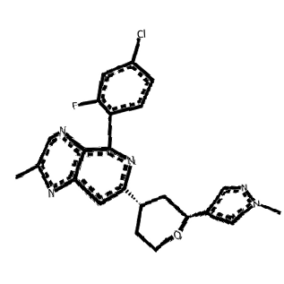 Cc1cnc2c(-c3ccc(Cl)cc3F)nc([C@H]3CCO[C@H](c4cnn(C)c4)C3)cc2n1